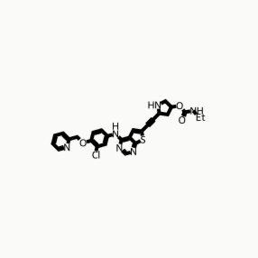 CCNC(=O)OC1CNC(C#Cc2cc3c(Nc4ccc(OCc5ccccn5)c(Cl)c4)ncnc3s2)C1